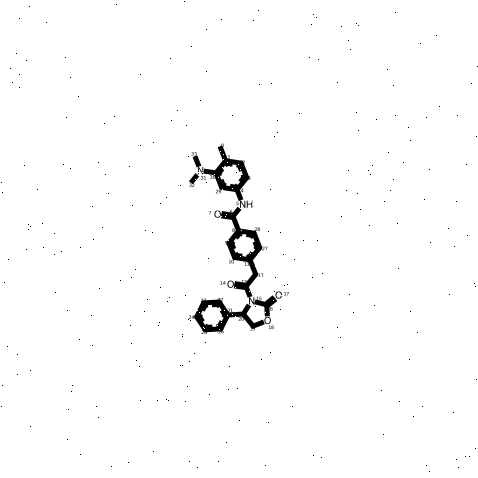 Cc1ccc(NC(=O)c2ccc(CC(=O)N3C(=O)OCC3c3ccccc3)cc2)cc1N(C)C